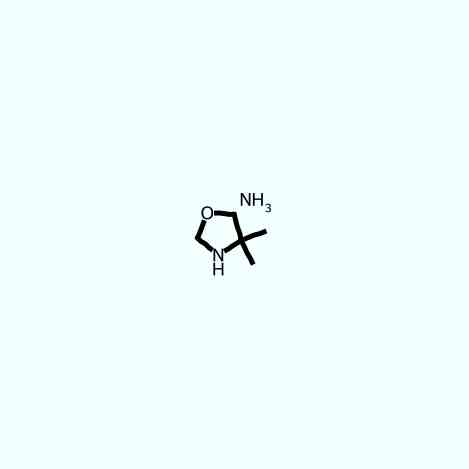 CC1(C)COCN1.N